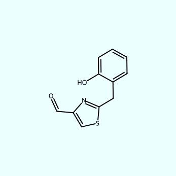 O=Cc1csc(Cc2ccccc2O)n1